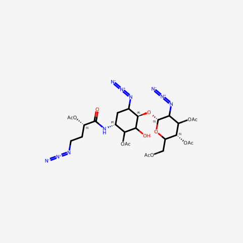 CC(=O)OCC1O[C@H](O[C@@H]2C(N=[N+]=[N-])C[C@@H](NC(=O)[C@H](CCN=[N+]=[N-])OC(C)=O)C(OC(C)=O)C2O)C(N=[N+]=[N-])C(OC(C)=O)[C@@H]1OC(C)=O